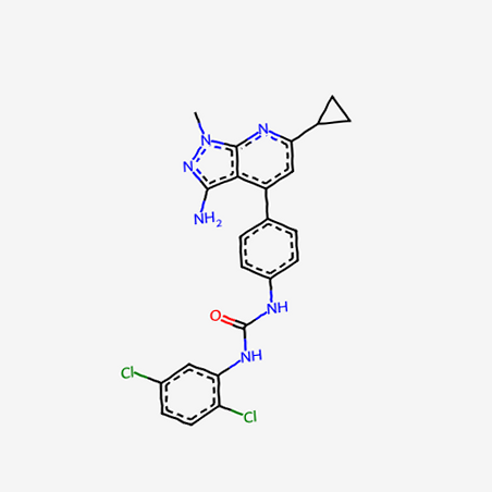 Cn1nc(N)c2c(-c3ccc(NC(=O)Nc4cc(Cl)ccc4Cl)cc3)cc(C3CC3)nc21